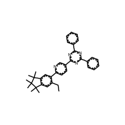 CCc1cc2c(cc1-c1ccc(-c3nc(-c4ccccc4)nc(-c4ccccc4)n3)cn1)C(C)(C)C(C)(C)C2(C)C